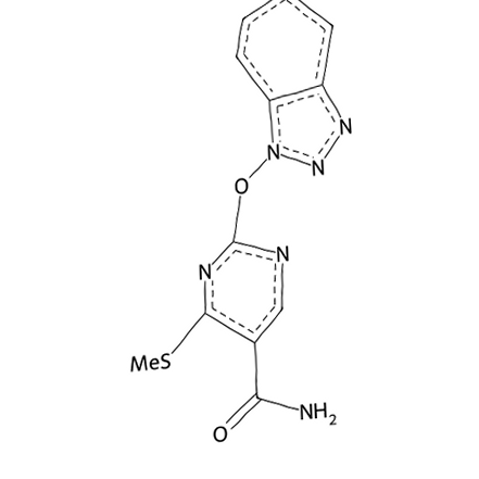 CSc1nc(On2nnc3ccccc32)ncc1C(N)=O